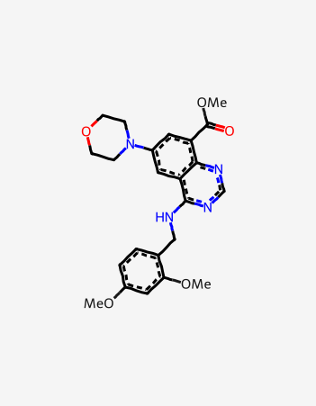 COC(=O)c1cc(N2CCOCC2)cc2c(NCc3ccc(OC)cc3OC)ncnc12